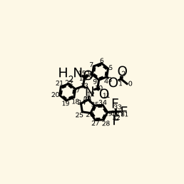 CC(=O)Oc1ccccc1C(=O)N(C(C(N)=O)c1ccccc1)[C@@H]1CCc2ccc(C(F)(F)F)cc21